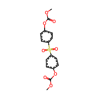 COC(=O)Oc1ccc(S(=O)(=O)c2ccc(OC(=O)OC)cc2)cc1